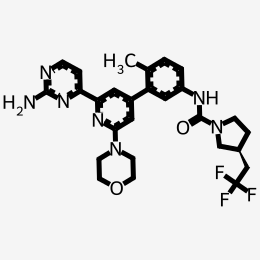 Cc1ccc(NC(=O)N2CC[C@@H](CC(F)(F)F)C2)cc1-c1cc(-c2ccnc(N)n2)nc(N2CCOCC2)c1